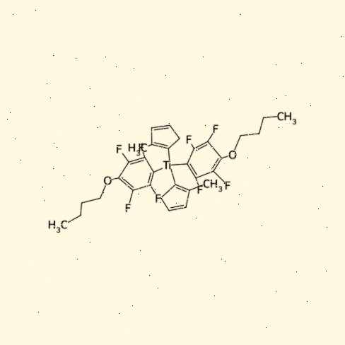 CCCCOc1c(F)c(F)[c]([Ti]([C]2=C(C)C=CC2)([C]2=C(C)C=CC2)[c]2c(F)c(F)c(OCCCC)c(F)c2F)c(F)c1F